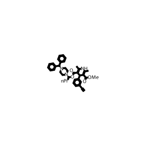 C#Cc1cccc(C2C(C(=O)OC)=C(C)NC(C)=C2C(=O)OC(CCC)N2CCN(C(c3ccccc3)c3ccccc3)CC2)c1